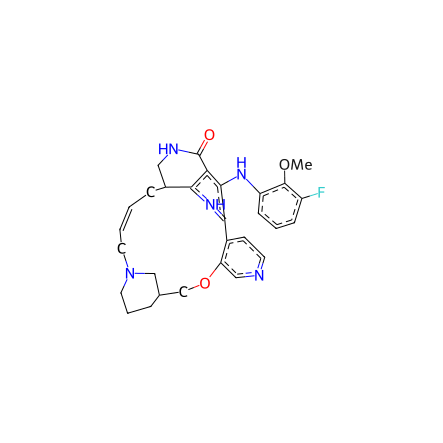 COc1c(F)cccc1Nc1c2[nH]c3c1C(=O)NCC3CC=CCN1CCCC(COc3cnccc3-2)C1